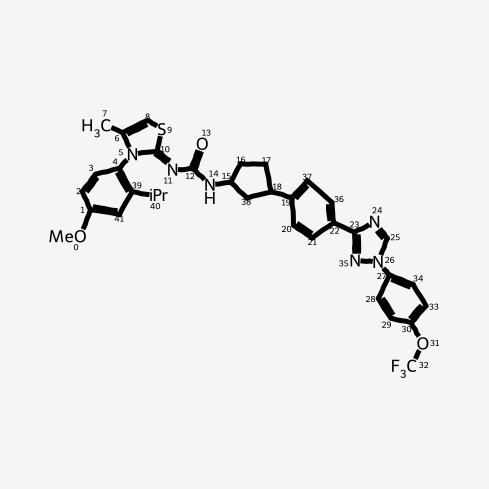 COc1ccc(-n2c(C)cs/c2=N\C(=O)NC2CCC(c3ccc(-c4ncn(-c5ccc(OC(F)(F)F)cc5)n4)cc3)C2)c(C(C)C)c1